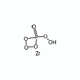 O=P1(OO)OOO1.[Zr]